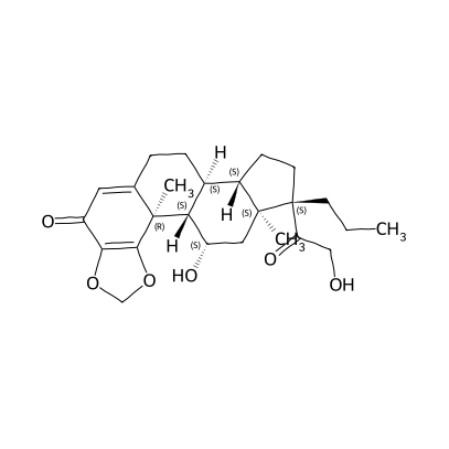 CCC[C@]1(C(=O)CO)CC[C@H]2[C@@H]3CCC4=CC(=O)C5=C(OCO5)[C@]4(C)[C@H]3[C@@H](O)C[C@@]21C